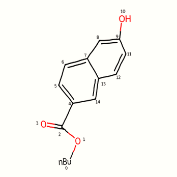 CCCCOC(=O)c1ccc2cc(O)ccc2c1